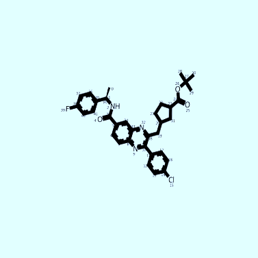 C[C@@H](NC(=O)c1ccc2nc(-c3ccc(Cl)cc3)c(CC3CCC(C(=O)OC(C)(C)C)C3)nc2c1)c1ccc(F)cc1